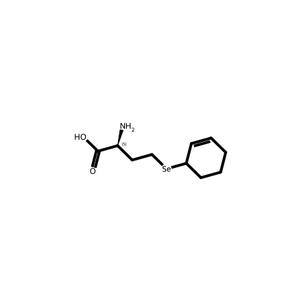 N[C@@H](CC[Se]C1C=CCCC1)C(=O)O